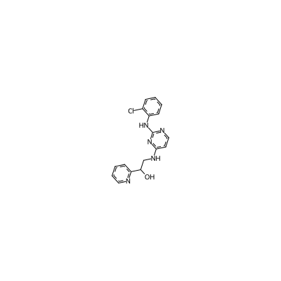 OC(CNc1ccnc(Nc2ccccc2Cl)n1)c1ccccn1